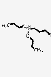 CCCO[SiH](CCCI)OCCC